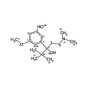 COc1cccc(C(O)(CCN(C)C)C(C)(C)C)c1.Cl